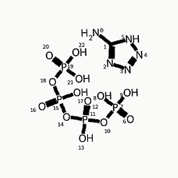 Nc1nnn[nH]1.O=P(O)(O)OP(=O)(O)OP(=O)(O)OP(=O)(O)O